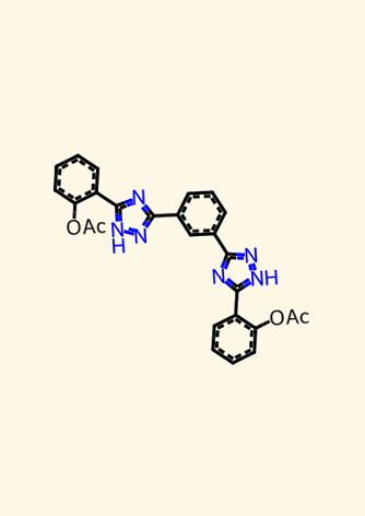 CC(=O)Oc1ccccc1-c1nc(-c2cccc(-c3n[nH]c(-c4ccccc4OC(C)=O)n3)c2)n[nH]1